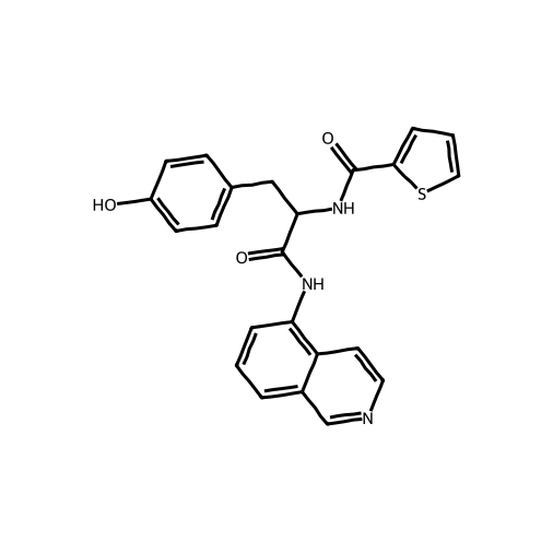 O=C(NC(Cc1ccc(O)cc1)C(=O)Nc1cccc2cnccc12)c1cccs1